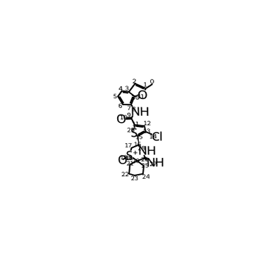 Cc1cc2cccc(NC(=O)c3cc(Cl)c([C@@H]4C[S+]([O-])C5(CCCCC5)C(=N)N4)s3)c2o1